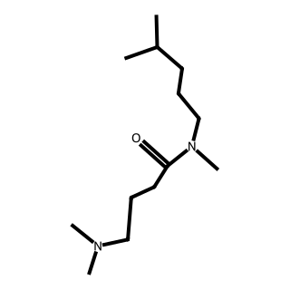 CC(C)CCCN(C)C(=O)CCCN(C)C